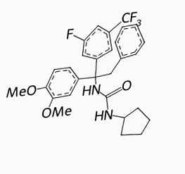 COc1ccc(C(Cc2ccccc2)(NC(=O)NC2CCCC2)c2cc(F)cc(C(F)(F)F)c2)cc1OC